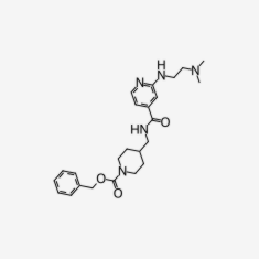 CN(C)CCNc1cc(C(=O)NCC2CCN(C(=O)OCc3ccccc3)CC2)ccn1